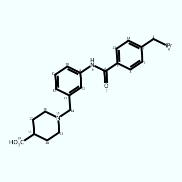 CC(C)Cc1ccc(C(=O)Nc2cccc(CN3CCC(C(=O)O)CC3)c2)cc1